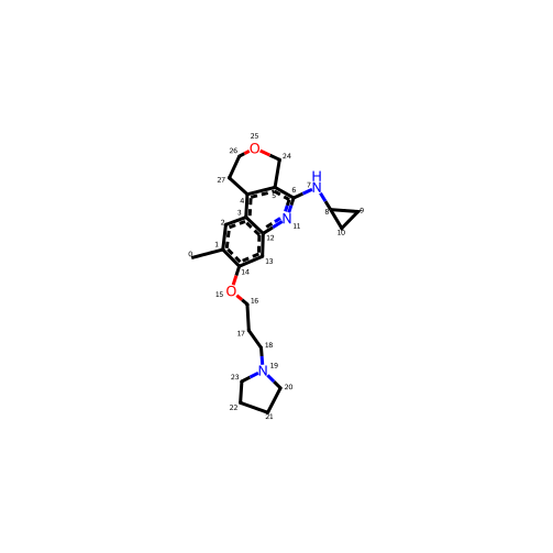 Cc1cc2c3c(c(NC4CC4)nc2cc1OCCCN1CCCC1)COCC3